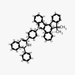 CC1(C)c2ccccc2-c2c1c1ccccc1c1c2c2ccccc2n1-c1ccc(C2=Nc3ccccc3C(c3ccccc3)N2)cc1